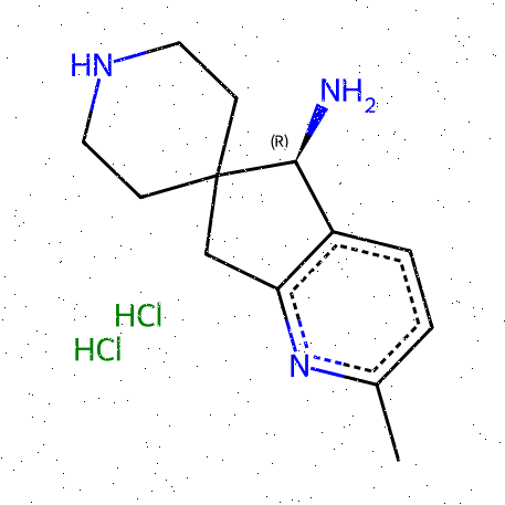 Cc1ccc2c(n1)CC1(CCNCC1)[C@H]2N.Cl.Cl